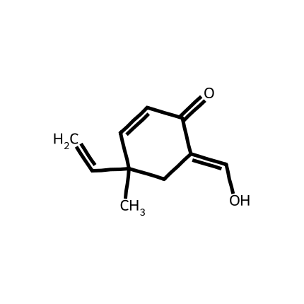 C=CC1(C)C=CC(=O)C(=CO)C1